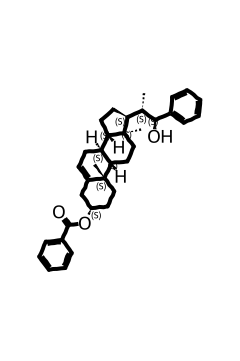 C[C@H]([C@H](O)c1ccccc1)[C@@H]1CC[C@H]2[C@@H]3CC=C4C[C@@H](OC(=O)c5ccccc5)CC[C@@]4(C)[C@H]3CC[C@]12C